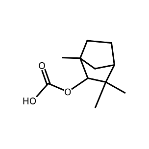 CC12CCC(C1)C(C)(C)C2OC(=O)O